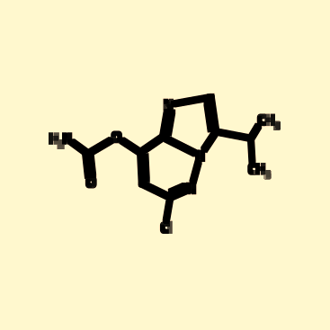 CC(C)c1cnc2c(OC(N)=O)cc(Cl)nn12